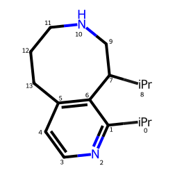 CC(C)c1nccc2c1C(C(C)C)CNCCC2